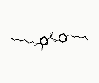 CCCCCCCOc1ccc(C(=O)Oc2ccc(OCCCCC)cc2)cc1F